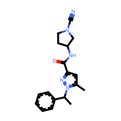 Cc1cc(C(=O)NC2CCN(C#N)C2)nn1C(C)c1ccccc1